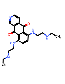 CCNCCNc1ccc(NCCNCC)c2c1C(=O)c1ccncc1C2=O